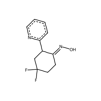 ON=C1CCC(F)(F)CC1c1ccccn1